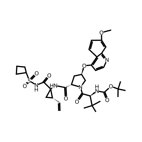 C=C[C@@H]1C[C@]1(NC(=O)[C@@H]1C[C@@H](Oc2ccnc3cc(OC)ccc23)CN1C(=O)[C@@H](NC(=O)OC(C)(C)C)C(C)(C)C)C(=O)NS(=O)(=O)C1CCC1